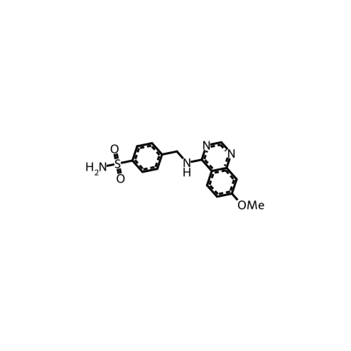 COc1ccc2c(NCc3ccc(S(N)(=O)=O)cc3)ncnc2c1